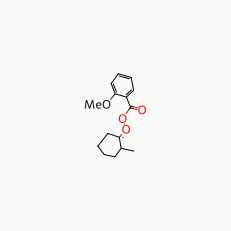 COc1ccccc1C(=O)OO[C]1CCCCC1C